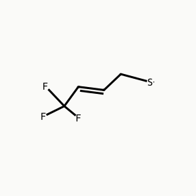 FC(F)(F)/C=C/C[S]